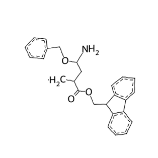 [CH2]C(CC(N)OCc1ccccc1)C(=O)OCC1c2ccccc2-c2ccccc21